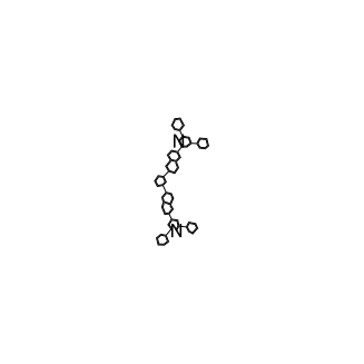 c1ccc(-c2cc(-c3ccccc3)nc(-c3ccc4cc(-c5cccc(-c6ccc7cc(-c8cc(-c9ccccc9)nc(-c9ccccc9)c8)ccc7c6)c5)ccc4c3)c2)cc1